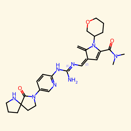 C=c1/c(=C\N=C(/N)Nc2ccc(N3CCC4(CCCN4)C3=O)cn2)cc(C(=O)N(C)C)n1C1CCCOC1